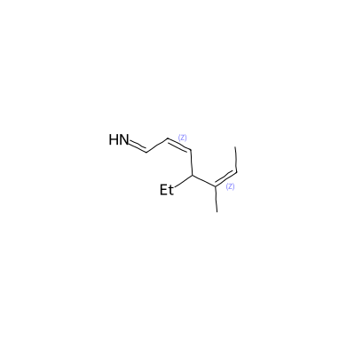 C/C=C(/C)C(/C=C\C=N)CC